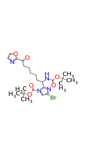 CC(C)(C)OC(=O)NC(CCCCCC(=O)c1ncco1)c1nc(Br)cn1C(=O)OC(C)(C)C